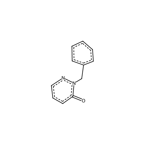 O=c1cccnn1Cc1ccccc1